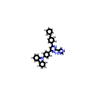 c1ccc(-c2ccc(-c3cc(-c4ccc(-n5c6ccccc6c6ccccc65)cc4)nc(-c4cnc[nH]4)n3)cc2)cc1